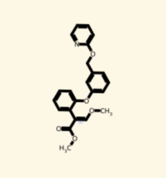 CO/C=C(/C(=O)OC)c1ccccc1Oc1cccc(COc2ccccn2)c1